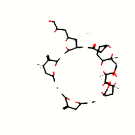 C=C1CC2CC[C@@]34C[C@H]5OC6C(O3)[C@H]3OC(CCC3O[C@H]6[C@@H]5O4)CC(=O)CC3C(CC4OC(CCC1O2)C[C@@H](C)C4=C)OC(CC(O)CO)[C@@H]3OC